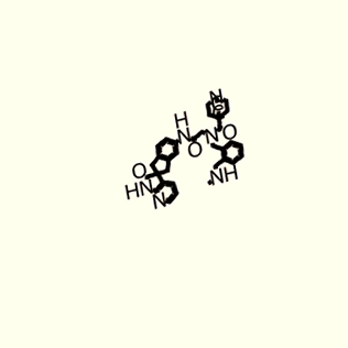 CNCc1ccccc1CN(CC(=O)Nc1ccc2c(c1)CC1(C2)C(=O)Nc2ncccc21)C(=O)C12CCN(CC1)CC2